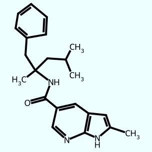 Cc1cc2cc(C(=O)NC(C)(Cc3ccccc3)CC(C)C)cnc2[nH]1